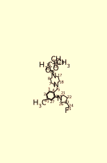 Cc1ccc(CN2CCN(C(=O)OC(C)(C)C)CC2)c(N2CCC(CF)C2)c1